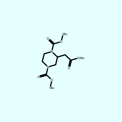 COC(=O)CC1CN(C(=O)OC(C)(C)C)CCN1C(=O)OC(C)(C)C